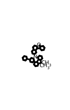 CC1(C)c2ccccc2-c2c(N(c3cccc(-c4ccccc4)c3)c3ccc4ccc5oc6ccccc6c5c4c3)cccc21